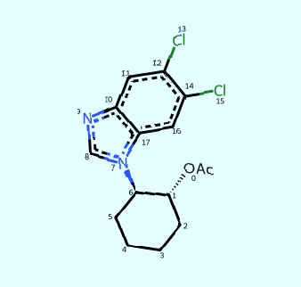 CC(=O)O[C@@H]1CCCC[C@H]1n1cnc2cc(Cl)c(Cl)cc21